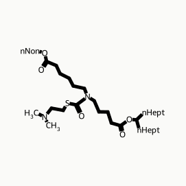 CCCCCCCCCOC(=O)CCCCCN(CCCCC(=O)OC(CCCCCCC)CCCCCCC)C(=O)SCCN(C)C